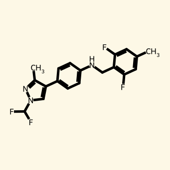 Cc1cc(F)c(CNc2ccc(-c3cn(C(F)F)nc3C)cc2)c(F)c1